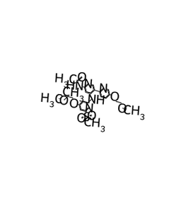 COCCOc1ccc(-c2cnc(NC(C)=O)cc2Nc2cc(OC[C@@H](C)OC)cc(S(C)(=O)=O)n2)nc1